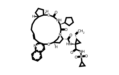 C=C[C@@H]1C[C@]1(NC(=O)[C@@H]1C[C@@H]2CN1C(=O)[C@H](C1CCCC1)NC(=O)O[C@@H]1CCC[C@H]1CCC/C=C/c1nc3ccccc3cc1O2)C(=O)NS(=O)(=O)C1CC1